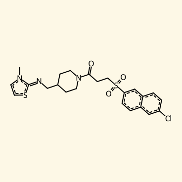 Cn1ccs/c1=N\CC1CCN(C(=O)CCS(=O)(=O)c2ccc3cc(Cl)ccc3c2)CC1